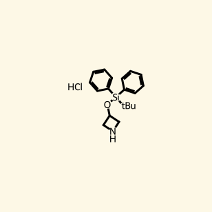 CC(C)(C)[Si](OC1CNC1)(c1ccccc1)c1ccccc1.Cl